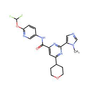 Cn1cncc1-c1nc(C(=O)Nc2ccc(OC(F)F)nc2)cc(C2CCOCC2)n1